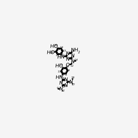 CN(C)c1nc(Nc2ccc(OCN(C)c3nc(N)nc(Nc4ccc(O)c(O)c4)n3)c(O)c2)nc(N(C)C)n1